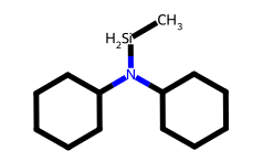 C[SiH2]N(C1CCCCC1)C1CCCCC1